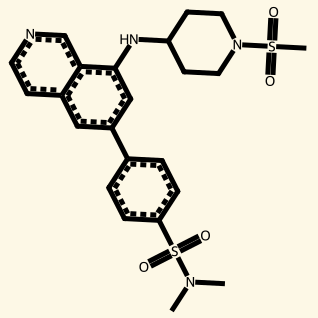 CN(C)S(=O)(=O)c1ccc(-c2cc(NC3CCN(S(C)(=O)=O)CC3)c3cnccc3c2)cc1